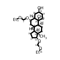 CCOCO[C@H]1C[C@@H]2[C@H](CC[C@]3(C)[C@@H](OCOCC)CC[C@@H]23)[C@@]2(C)CC[C@H](O)C[C@H]12